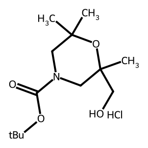 CC(C)(C)OC(=O)N1CC(C)(C)OC(C)(CO)C1.Cl